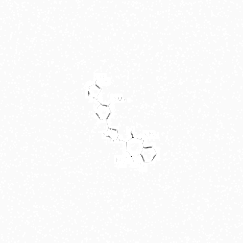 COc1cc(-c2cn(C3CC(C)(C)c4ccccc4N(C)C3=O)nn2)ccc1-n1cnc(C)c1